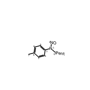 CCCC(C)N(N=O)c1ccc(C)cc1